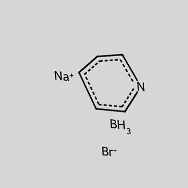 B.[Br-].[Na+].c1ccncc1